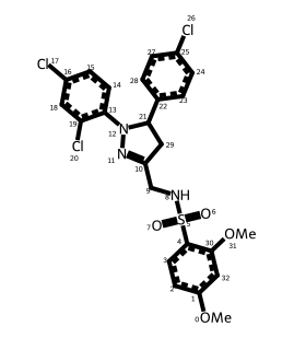 COc1ccc(S(=O)(=O)NCC2=NN(c3ccc(Cl)cc3Cl)C(c3ccc(Cl)cc3)C2)c(OC)c1